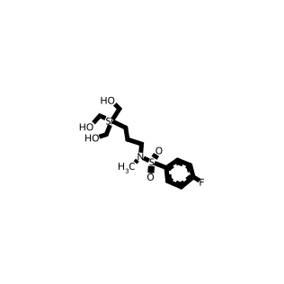 CN(CCC[Si](CO)(CO)CO)S(=O)(=O)c1ccc(F)cc1